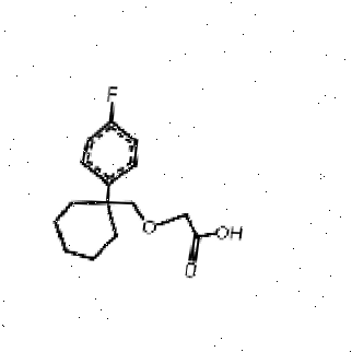 O=C(O)COCC1(c2ccc(F)cc2)CCCCC1